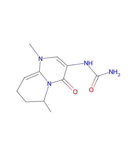 CC1CCC=C2N(C)C=C(NC(N)=O)C(=O)N21